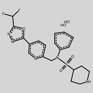 Cl.Cl.O=S(=O)(C1CCNCC1)N(Cc1ccc(-c2nnc(C(F)F)o2)cn1)c1ccccc1